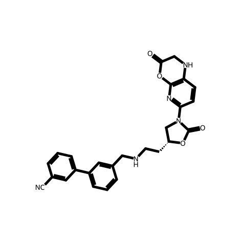 N#Cc1cccc(-c2cccc(CNCC[C@@H]3CN(c4ccc5c(n4)OC(=O)CN5)C(=O)O3)c2)c1